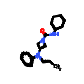 CCCN(c1ccccc1)C1CN(C(=O)NC2CCCCC2)C1